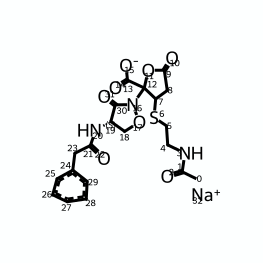 CC(=O)NCCSC1CC(=O)OC1(C(=O)[O-])N1OC[C@H](NC(=O)Cc2ccccc2)C1=O.[Na+]